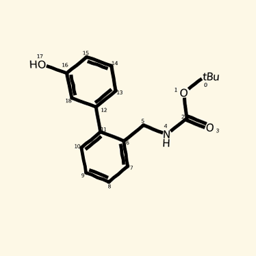 CC(C)(C)OC(=O)NCc1ccccc1-c1cccc(O)c1